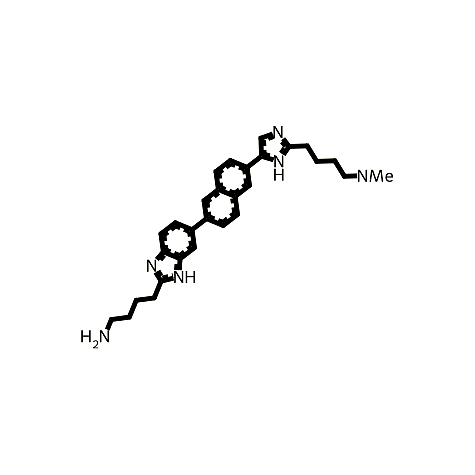 CNCCCCc1ncc(-c2ccc3cc(-c4ccc5nc(CCCCN)[nH]c5c4)ccc3c2)[nH]1